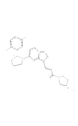 O=C(/C=C/c1cnn2ccc(N3CCC[C@@H]3c3cc(F)ccc3F)nc12)N1CC[C@@H](O)C1